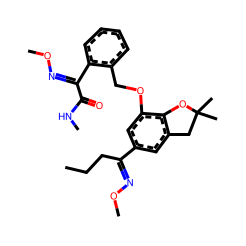 CCCC(=NOC)c1cc2c(c(OCc3ccccc3/C(=N\OC)C(=O)NC)c1)OC(C)(C)C2